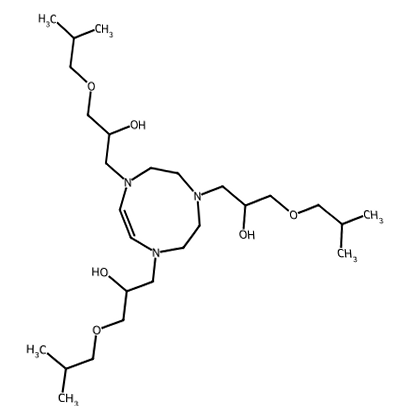 CC(C)COCC(O)CN1/C=C\N(CC(O)COCC(C)C)CCN(CC(O)COCC(C)C)CC1